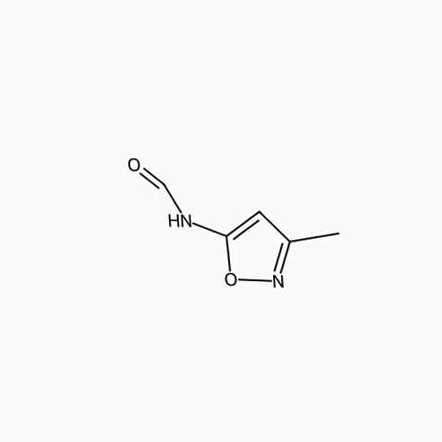 Cc1cc(NC=O)on1